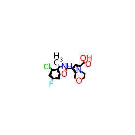 C[C@@H](NC(=O)c1cc(C(=O)O)n2c1COCC2)c1ccc(F)cc1Cl